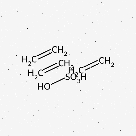 C=C.C=C.C=C.O=S(=O)(O)O